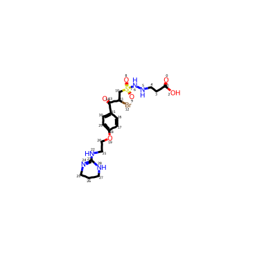 O=C(O)CCNNS(=O)(=O)CC(Br)C(=O)c1ccc(OCCNC2=NCCCN2)cc1